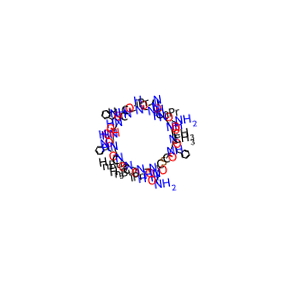 CCCC[C@H]1C(=O)N(C)[C@@H](CCCC)C(=O)N[C@@H](CC(C)C)C(=O)N[C@H](C(=O)NCC(N)=O)CSCC(=O)N[C@@H](CCc2ccccc2)C(=O)N(C)[C@@H](C)C(=O)N[C@@H](CC(N)=O)C(=O)N(CCC)CC(=O)N[C@@H](Cc2cnc[nH]2)C(=O)N[C@@H](CC(C)C)C(=O)N(C)CC(=O)N[C@@H](Cc2c[nH]c3ccccc23)C(=O)N[C@@H](CO)C(=O)N[C@@H](Cc2c[nH]c3ccccc23)C(=O)N1C